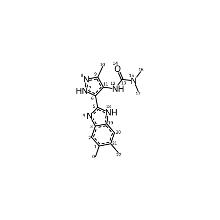 Cc1cc2nc(-c3[nH]nc(C)c3NC(=O)N(C)C)[nH]c2cc1C